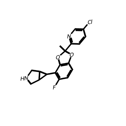 CC1(c2ccc(Cl)cn2)Oc2ccc(F)c(C3C4CNCC43)c2O1